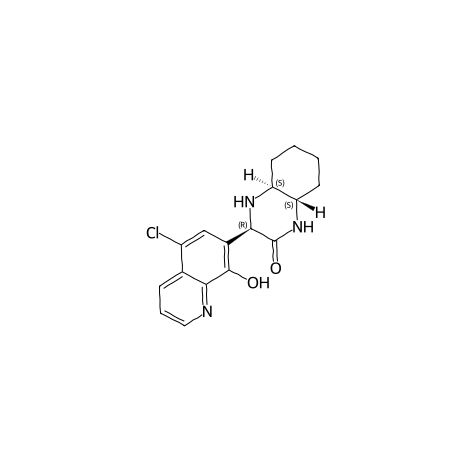 O=C1N[C@H]2CCCC[C@@H]2N[C@@H]1c1cc(Cl)c2cccnc2c1O